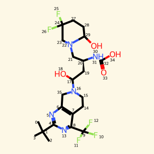 CC(C)(C)c1nc2c(c(C(F)(F)F)n1)CCN(C(O)C[C@@H](CN1CC(F)(F)CCC1O)NC(=O)O)C2